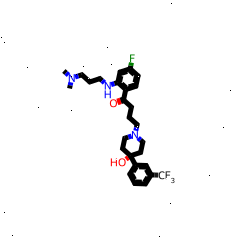 CN(C)CCCNc1cc(F)ccc1C(=O)CCCN1CCC(O)(c2cccc(C(F)(F)F)c2)CC1